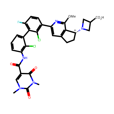 COc1nc(-c2ccc(F)c(-c3cccc(NC(=O)c4cn(C)c(=O)n(C)c4=O)c3Cl)c2Cl)cc2c1[C@H](N1CC(C(=O)O)C1)CC2